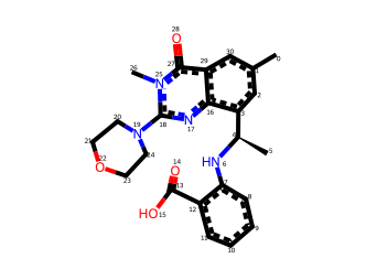 Cc1cc([C@@H](C)Nc2ccccc2C(=O)O)c2nc(N3CCOCC3)n(C)c(=O)c2c1